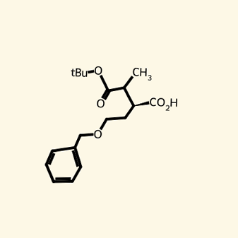 CC(C(=O)OC(C)(C)C)[C@H](CCOCc1ccccc1)C(=O)O